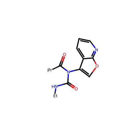 CCNC(=O)N(C(=O)C(C)C)c1coc2ncccc12